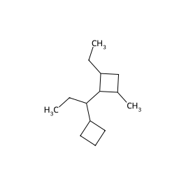 CCC1CC(C)C1C(CC)C1CCC1